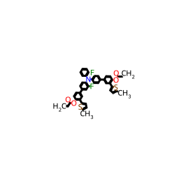 C=CC(=O)Oc1ccc(-c2ccc(N(c3ccccc3)c3ccc(-c4ccc(OC(=O)C=C)c(-c5ccc(C)s5)c4)cc3F)c(F)c2)cc1-c1ccc(C)s1